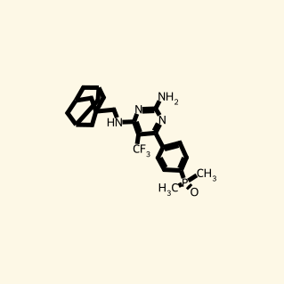 CP(C)(=O)c1ccc(-c2nc(N)nc(NCC34CC5CC(CC(C5)C3)C4)c2C(F)(F)F)cc1